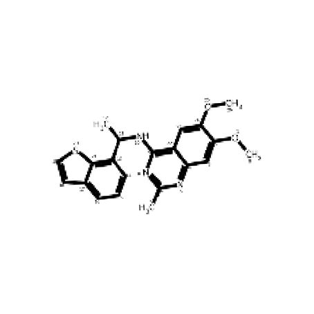 COc1cc2nc(C)nc(NC(C)c3cccc4ccsc34)c2cc1OC